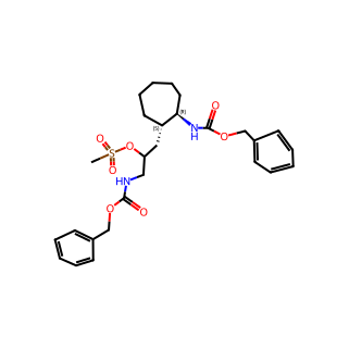 CS(=O)(=O)OC(CNC(=O)OCc1ccccc1)C[C@@H]1CCCCC[C@H]1NC(=O)OCc1ccccc1